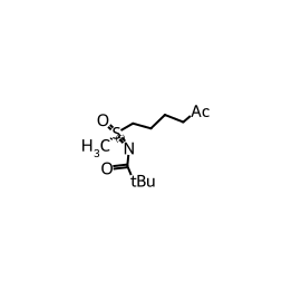 CC(=O)CCCC[S@](C)(=O)=NC(=O)C(C)(C)C